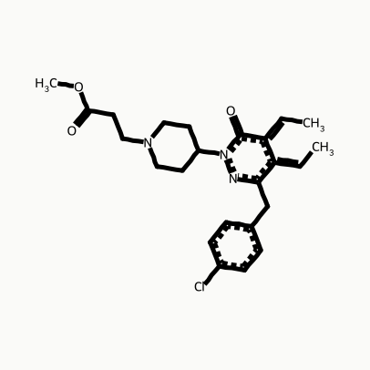 C/C=c1/c(Cc2ccc(Cl)cc2)nn(C2CCN(CCC(=O)OC)CC2)c(=O)/c1=C/C